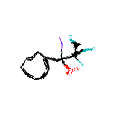 OC(I)(c1ccccc1)C(F)(F)F